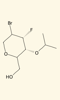 CC(C)O[C@@H]1C(CO)OCC(Br)[C@@H]1F